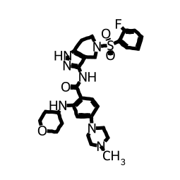 CN1CCN(c2ccc(C(=O)Nc3n[nH]c4c3CN(S(=O)(=O)c3ccccc3F)CC4)c(NC3CCOCC3)c2)CC1